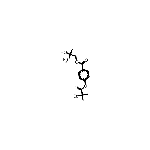 CCC(C)(C)C(=O)Oc1ccc(C(=O)OCC(C)(O)C(F)(F)F)cc1